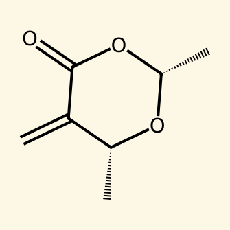 C=C1C(=O)O[C@H](C)O[C@@H]1C